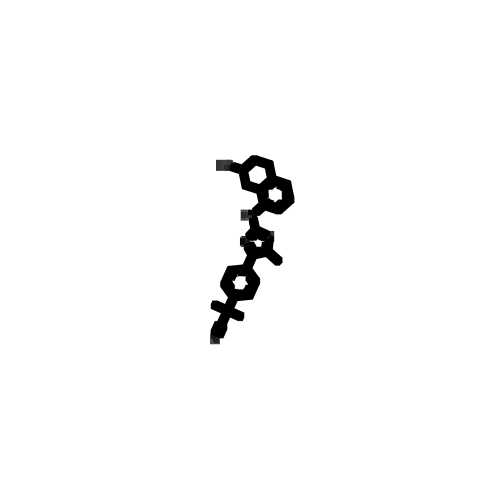 Cc1nc(Nc2cccc3c2CC(O)CC3)oc1-c1ccc(C(C)(C)C#N)cc1